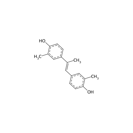 C/C(=C\c1ccc(O)c(C)c1)c1ccc(O)c(C)c1